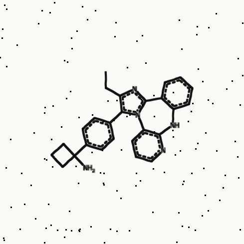 CCc1nc2n(c1-c1ccc(C3(N)CCC3)cc1)-c1cccnc1Nc1ccccc1-2